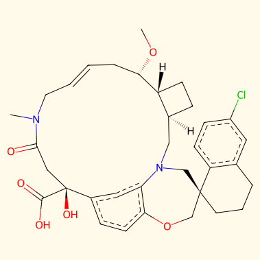 CO[C@H]1C/C=C/CN(C)C(=O)C[C@@](O)(C(=O)O)c2ccc3c(c2)N(C[C@@H]2CC[C@H]21)C[C@@]1(CCCc2cc(Cl)ccc21)CO3